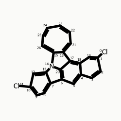 Clc1ccc2cc3c4ccc(Cl)cc4n4c5/c(c(c2c1)c34)=C\C=C/C=C\C=5